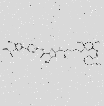 COC(=O)c1cc(-c2ccc(NC(=O)c3nc(NC(=O)CCCOc4cc(/N=C\C5CCCCN5C=O)c(C)cc4OC)cn3C)cc2)cn1C